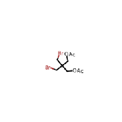 CC(=O)OCC(CBr)(CBr)COC(C)=O